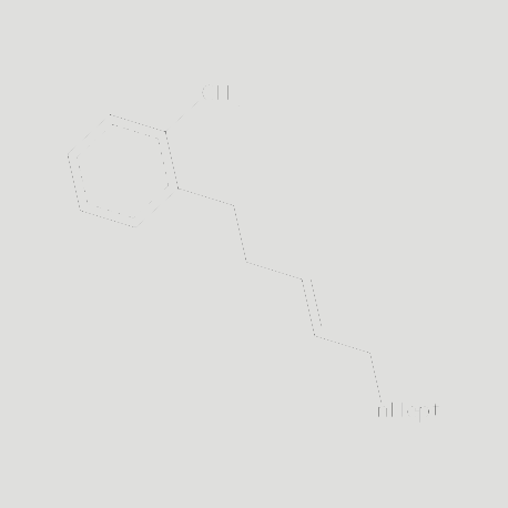 CCCCCCCCC=CCCc1ccccc1C